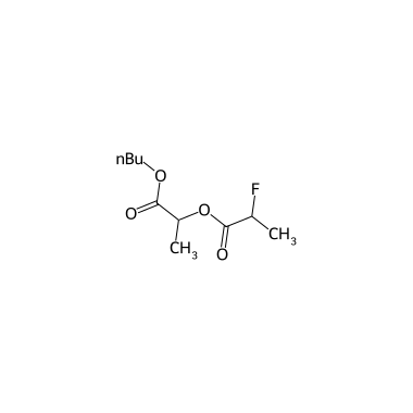 CCCCOC(=O)C(C)OC(=O)C(C)F